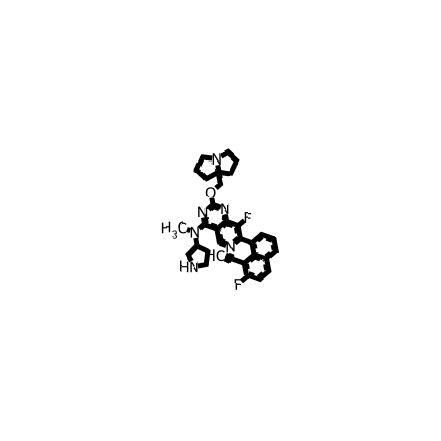 C#Cc1c(F)ccc2cccc(-c3ncc4c(N(C)C5CCNC5)nc(OCC56CCCN5CCC6)nc4c3F)c12